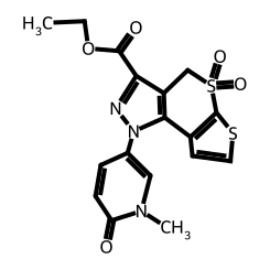 CCOC(=O)c1nn(-c2ccc(=O)n(C)c2)c2c1CS(=O)(=O)c1sccc1-2